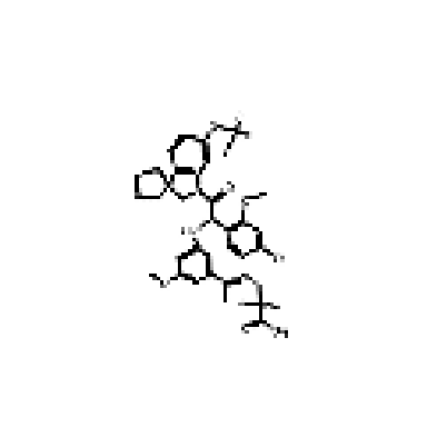 COc1cc(NC(C(=O)N2CC3(CCCC3)c3ccc(OC(F)(F)F)cc32)c2ccc(Cl)cc2OC)cc(C(C)=NOC(C)(C)C(=O)O)c1